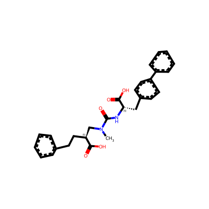 CN(C[C@H](CCc1ccccc1)C(=O)O)C(=O)N[C@@H](Cc1ccc(-c2ccccc2)cc1)C(=O)O